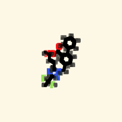 CCC=Cc1nc(C(C)(F)F)nn1Cc1ccc(-c2ccccc2)c(C(=O)O)c1